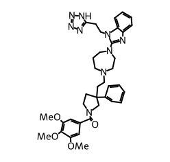 COc1cc(C(=O)N2CCC(CCN3CCCN(c4nc5ccccc5n4CCc4nnn[nH]4)CC3)(c3ccccc3)C2)cc(OC)c1OC